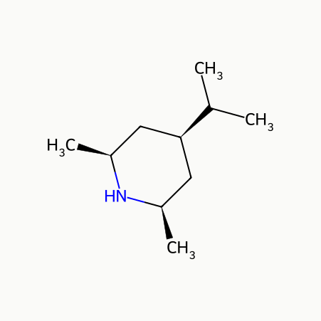 CC(C)[C@H]1C[C@@H](C)N[C@@H](C)C1